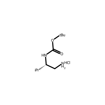 CC(C)[C@@H](CN)NC(=O)OC(C)(C)C.Cl